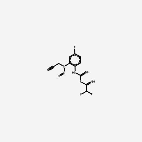 N#CCN(N=O)c1cc(F)ccc1NC(=N)SC(=N)C(F)F